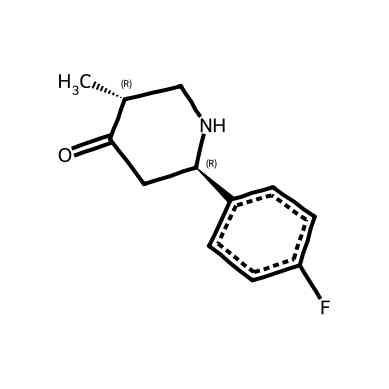 C[C@@H]1CN[C@@H](c2ccc(F)cc2)CC1=O